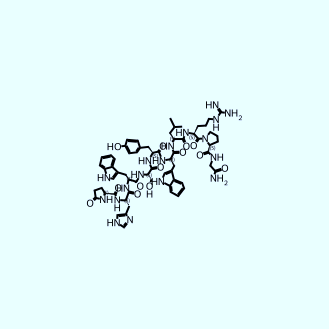 CC(C)C[C@H](NC(=O)[C@@H](Cc1c[nH]c2ccccc12)NC(=O)[C@H](Cc1ccc(O)cc1)NC(=O)[C@H](CO)NC(=O)[C@H](Cc1c[nH]c2ccccc12)NC(=O)[C@H](Cc1c[nH]cn1)NC(=O)[C@@H]1CCC(=O)N1)C(=O)N[C@@H](CCCNC(=N)N)C(=O)N1CCC[C@H]1C(=O)NCC(N)=O